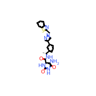 C[C@@H](NC(=O)c1[nH]c(=O)[nH]c(=O)c1N)c1cccc(-c2cnn(Cc3nc4ccccc4s3)c2)c1